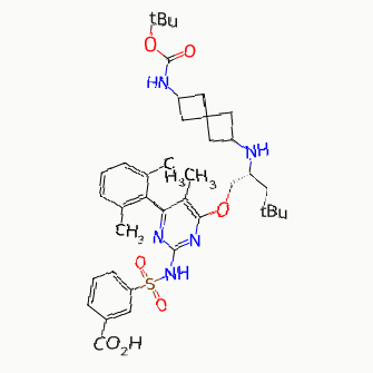 Cc1cccc(C)c1-c1nc(NS(=O)(=O)c2cccc(C(=O)O)c2)nc(OC[C@@H](CC(C)(C)C)NC2CC3(CC(NC(=O)OC(C)(C)C)C3)C2)c1C